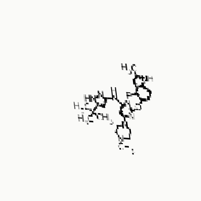 Cc1cc2c(F)c(Oc3nc(Nc4cc(C(C)(C)C)[nH]n4)cc(N4CCN(C)CC4)n3)ccc2[nH]1